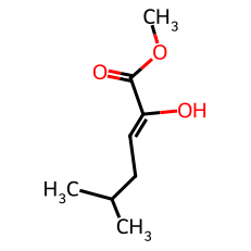 COC(=O)C(O)=CCC(C)C